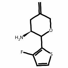 C=C1COC(c2sccc2F)[C@@H](N)C1